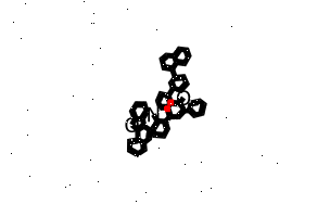 c1cc(-c2ccc(N(c3ccccc3-c3ccc4oc5ccccc5c4c3)c3cccc4oc5c6ccccc6ccc5c34)cc2)cc(-c2cccc3ccccc23)c1